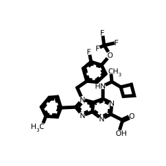 Cc1cccc(-c2nc3nc(C(=O)O)nc(NC(C)C4CCC4)c3n2Cc2ccc(OC(F)(F)F)c(F)c2)c1